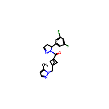 Cc1ccnn1CC12CC(C(=O)N3N=CCC3c3cc(F)cc(F)c3)(C1)C2